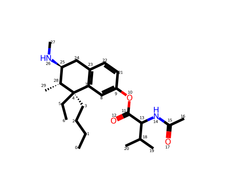 CCCC[C@@]1(CC)c2cc(OC(=O)C(NC(C)=O)C(C)C)ccc2C[C@H](NC)[C@H]1C